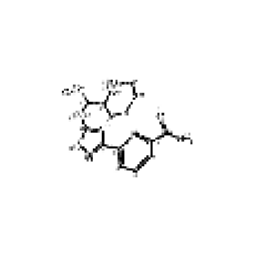 NC(=O)c1cccc(-c2nsc(NC(C=O)C3CCCCN3)n2)c1